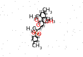 Cc1ccc(S(=O)(=O)C(C)Cc2cc(O)c(-c3c(C)cc(C)cc3C)c(=O)o2)cc1